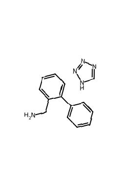 NCc1ccccc1-c1ccccc1.c1nnn[nH]1